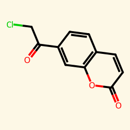 O=C(CCl)c1ccc2ccc(=O)oc2c1